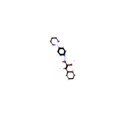 O=C(Nc1ccc(N2CCCCC2)cc1)C1=C(O)C2CCCCC2OC1=O